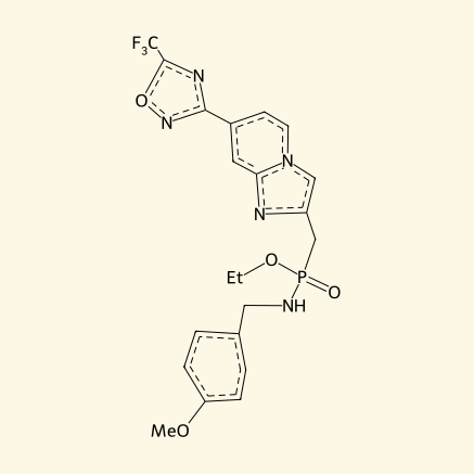 CCOP(=O)(Cc1cn2ccc(-c3noc(C(F)(F)F)n3)cc2n1)NCc1ccc(OC)cc1